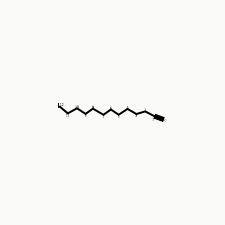 C#CCCCCCCCCCCI